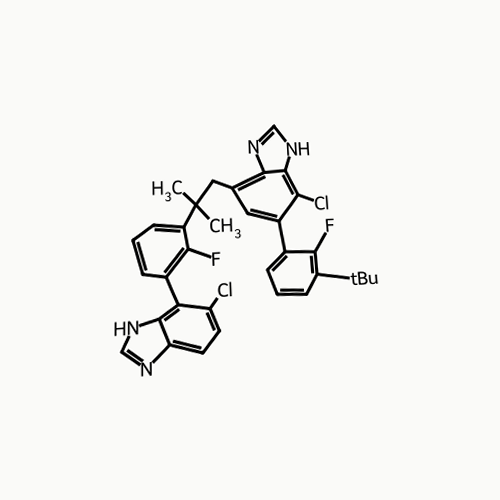 CC(C)(C)c1cccc(-c2cc(CC(C)(C)c3cccc(-c4c(Cl)ccc5nc[nH]c45)c3F)c3nc[nH]c3c2Cl)c1F